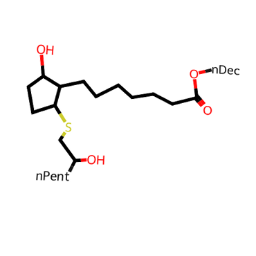 CCCCCCCCCCOC(=O)CCCCCCC1C(O)CCC1SCC(O)CCCCC